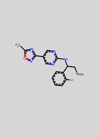 CC(=O)NCC(Nc1ncc(-c2noc(C(F)(F)F)n2)cn1)c1ccccc1F